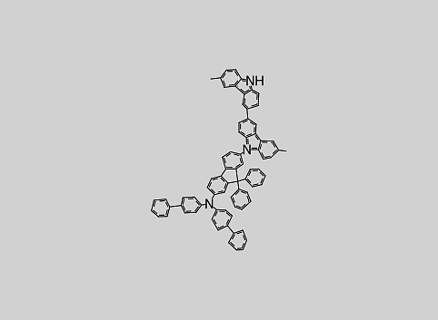 Cc1ccc2[nH]c3ccc(-c4ccc5c(c4)c4cc(C)ccc4n5-c4ccc5c(c4)C(c4ccccc4)(c4ccccc4)c4cc(N(c6ccc(-c7ccccc7)cc6)c6ccc(-c7ccccc7)cc6)ccc4-5)cc3c2c1